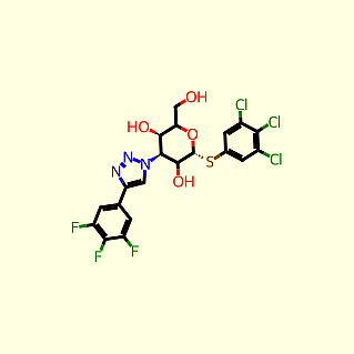 OCC1O[C@H](Sc2cc(Cl)c(Cl)c(Cl)c2)C(O)[C@@H](n2cc(-c3cc(F)c(F)c(F)c3)nn2)[C@H]1O